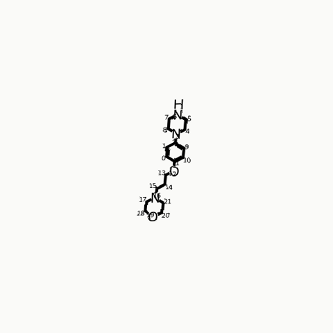 c1cc(N2CCNCC2)ccc1OCCCN1CCOCC1